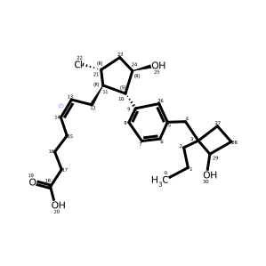 CCCC1(Cc2cccc([C@@H]3[C@@H](C/C=C\CCCC(=O)O)[C@H](Cl)C[C@H]3O)c2)CCC1O